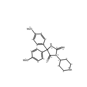 COc1ccc(C2(c3ccc(OC)cc3)NC(=N)N(C3CCNCC3)C2=O)cc1